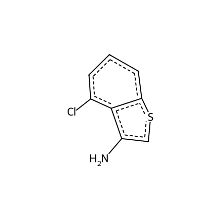 Nc1csc2cccc(Cl)c12